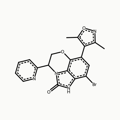 Cc1noc(C)c1-c1cc(Br)c2[nH]c(=O)n3c2c1OCC3c1ccccn1